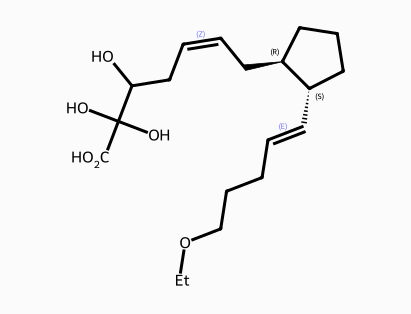 CCOCCC/C=C/[C@H]1CCC[C@@H]1C/C=C\CC(O)C(O)(O)C(=O)O